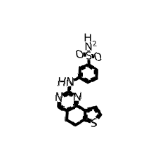 NS(=O)(=O)c1cccc(Nc2ncc3c(n2)-c2ccsc2CC3)c1